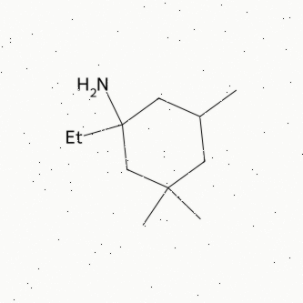 CCC1(N)CC(C)CC(C)(C)C1